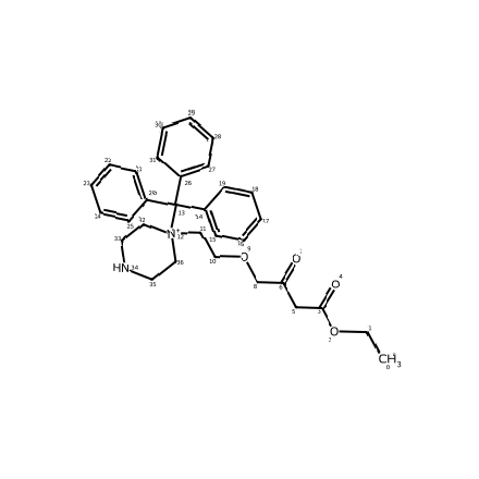 CCOC(=O)CC(=O)COCC[N+]1(C(c2ccccc2)(c2ccccc2)c2ccccc2)CCNCC1